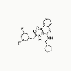 O=C(Cc1cc(F)cc(F)c1)Nn1c(NCC2CCCC2)nc2ccccc2c1=O